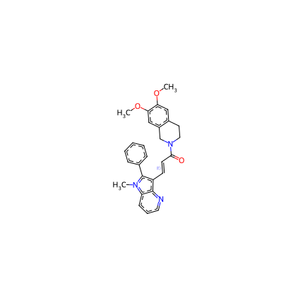 COc1cc2c(cc1OC)CN(C(=O)/C=C/c1c(-c3ccccc3)n(C)c3cccnc13)CC2